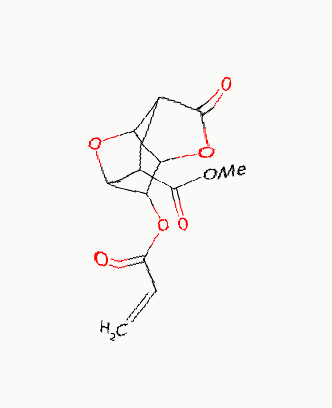 C=CC(=O)OC1C2OC(=O)C3C2OC1C3C(=O)OC